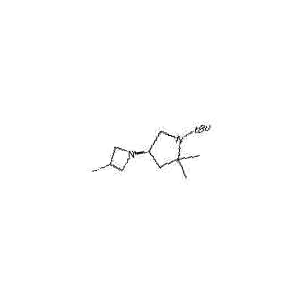 CC1CN([C@H]2CN(C(C)(C)C)C(C)(C)C2)C1